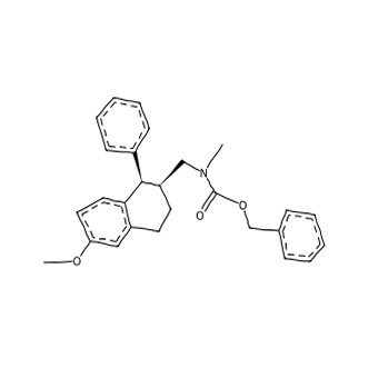 COc1ccc2c(c1)CC[C@H](CN(C)C(=O)OCc1ccccc1)[C@@H]2c1ccccc1